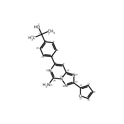 CC(C)(O)c1ccc(-c2cc3nc(-c4ccco4)nn3c(N)n2)cc1